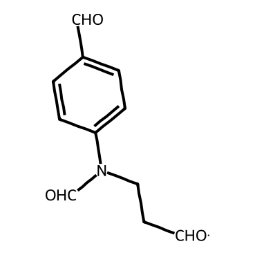 O=[C]CCN(C=O)c1ccc(C=O)cc1